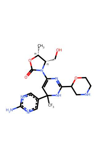 C[C@H]1OC(=O)N(C2=CC(c3cnc(N)nc3)(C(F)(F)F)NC(C3CNCCO3)=N2)[C@H]1CO